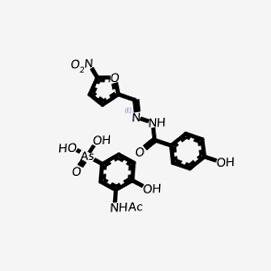 CC(=O)Nc1cc([As](=O)(O)O)ccc1O.O=C(N/N=C/c1ccc([N+](=O)[O-])o1)c1ccc(O)cc1